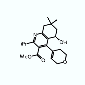 COC(=O)c1c(C(C)C)nc2c(c1C1=CCOCC1)[C@H](O)CC(C)(C)C2